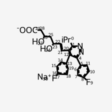 CC(C)c1nnc(-c2ccc(F)cc2)c(-c2ccc(F)cc2)c1/C=C/C(O)CC(O)CC(=O)[O-].[Na+]